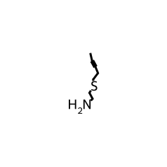 CC#CCCSCCN